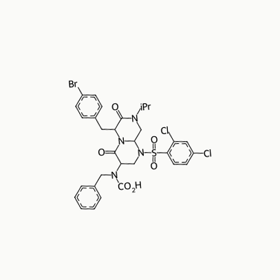 CC(C)N1CC2N(C(=O)C(N(Cc3ccccc3)C(=O)O)CN2S(=O)(=O)c2ccc(Cl)cc2Cl)C(Cc2ccc(Br)cc2)C1=O